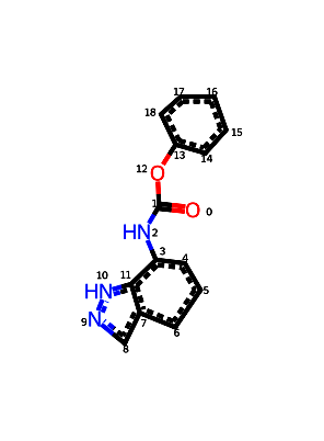 O=C(Nc1cccc2cn[nH]c12)Oc1ccccc1